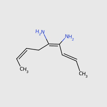 C/C=C\C/C(N)=C(N)\C=C\C